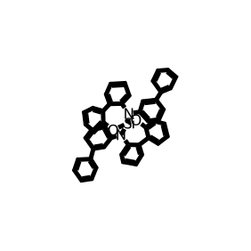 c1ccc(-c2cccc(N3c4ccccc4-c4ccccc4O[Si]34Oc3ccccc3-c3ccccc3N4c3cccc(-c4ccccc4)c3)c2)cc1